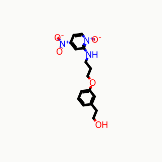 O=[N+]([O-])c1cc[n+]([O-])c(NCCCOc2cccc(CCO)c2)c1